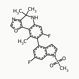 Cc1c(-c2cc(F)cc3c2ccn3S(C)(=O)=O)c(F)cc2c1-c1ocnc1C(C)(C)N2